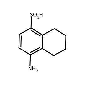 Nc1ccc(S(=O)(=O)O)c2c1CCCC2